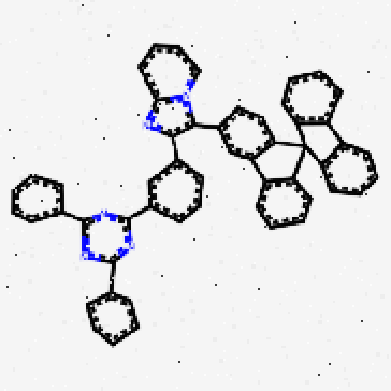 c1ccc(-c2nc(-c3ccccc3)nc(-c3cccc(-c4nc5ccccn5c4-c4ccc5c(c4)-c4ccccc4C54c5ccccc5-c5ccccc54)c3)n2)cc1